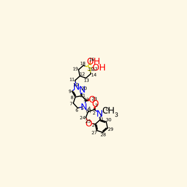 CN1C(=O)[C@@H](N2CCc3cn(CC4CCS(O)(O)CC4)nc3C2=O)COc2ccccc21